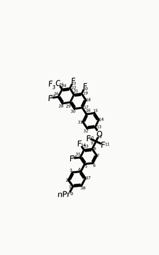 CCCc1ccc(-c2ccc(C(F)(F)Oc3ccc(-c4cc(F)c5c(F)c(C(F)(F)F)c(F)cc5c4)cc3)c(F)c2F)cc1